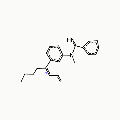 C=C/C=C(/CCCC)c1cccc(N(C)C(=N)c2ccccc2)c1